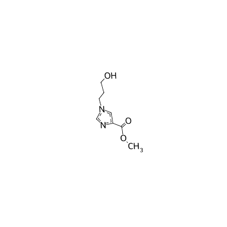 COC(=O)c1cn(CCCO)cn1